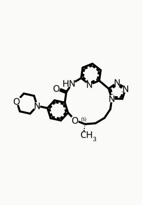 C[C@H]1CCCn2cnnc2-c2cccc(n2)NC(=O)c2cc(N3CCOCC3)ccc2O1